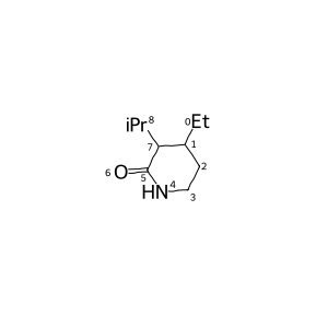 CCC1CCNC(=O)C1C(C)C